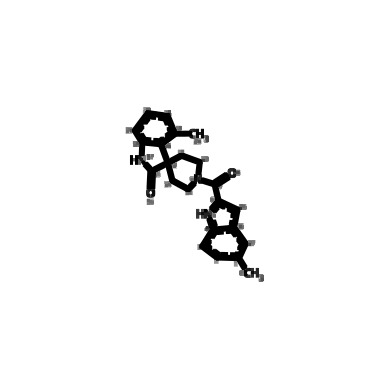 Cc1ccc2[nH]c(C(=O)N3CCC4(CC3)C(=O)Nc3cccc(C)c34)cc2c1